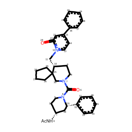 CC(=O)N[C@@H]1CCN(C(=O)N2CC[C@@H](Cn3ccc(-c4ccccc4)cc3=O)C3(CCCC3)C2)[C@H](c2ccccc2)C1